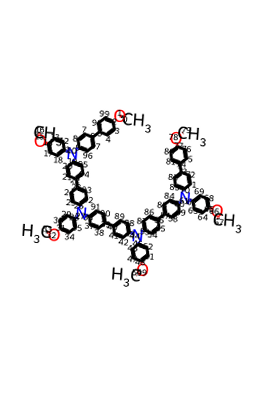 COc1ccc(-c2ccc(N(c3ccc(OC)cc3)c3ccc(-c4ccc(N(c5ccc(OC)cc5)c5ccc(-c6ccc(N(c7ccc(OC)cc7)c7ccc(-c8ccc(N(c9ccc(OC)cc9)c9ccc(-c%10ccc(OC)cc%10)cc9)cc8)cc7)cc6)cc5)cc4)cc3)cc2)cc1